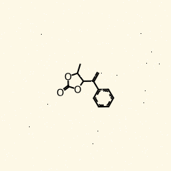 C=C(c1ccccc1)C1OC(=O)OC1C